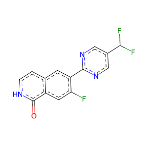 O=c1[nH]ccc2cc(-c3ncc(C(F)F)cn3)c(F)cc12